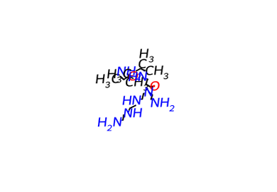 CC(N)CC(C)(C)OCC(C)C(C)NCCC(=O)N(CCN)CCNCCNCCN